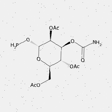 CC(=O)OC[C@H]1O[C@H](OP)[C@@H](OC(C)=O)[C@@H](OC(N)=O)[C@@H]1OC(C)=O